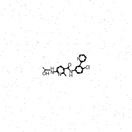 Cc1nc(NC[C@H](C)O)ccc1C(=O)Nc1ccc(Cl)c(-c2ccccn2)c1